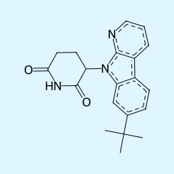 CC(C)(C)c1ccc2c3cccnc3n(C3CCC(=O)NC3=O)c2c1